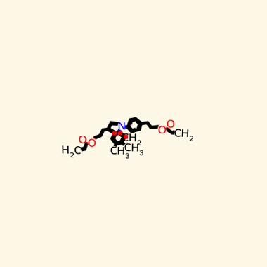 C=C/C=C(\C=C/N(c1ccc(CCCOC(=O)C=C)cc1)c1ccc(C)c(C)c1)CCCOC(=O)C=C